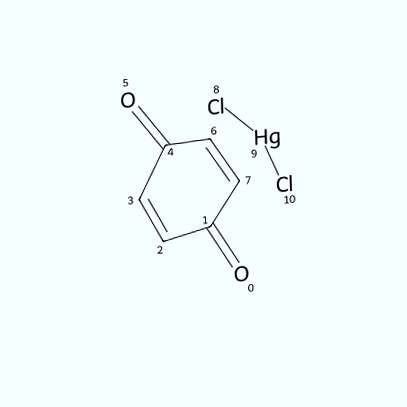 O=C1C=CC(=O)C=C1.[Cl][Hg][Cl]